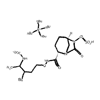 CC(NC(=O)[O-])C(CCONC(=O)[C@@H]1CC[C@@H]2CN1C(=O)N2OS(=O)(=O)O)C(C)(C)C.CCCC[N+](CCCC)(CCCC)CCCC